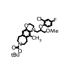 COCC(CN1CCOc2cc3c(c(C)c21)CCN(C(=O)OC(C)(C)C)CC3)Oc1ccc(F)cc1Cl